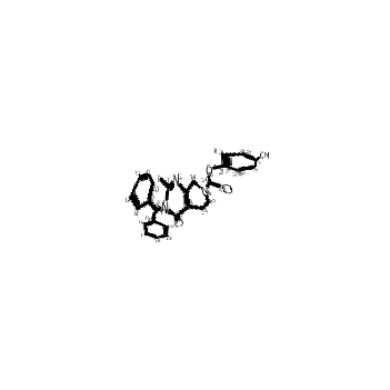 Cc1nc2c(c(=O)n1C(c1ccccc1)c1ccccc1)CCN(C(=O)Oc1ccc(C#N)cc1)C2